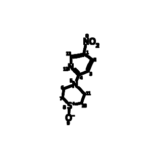 O=[N+]([O-])c1ccc(N2CC[S+]([O-])CC2)nc1